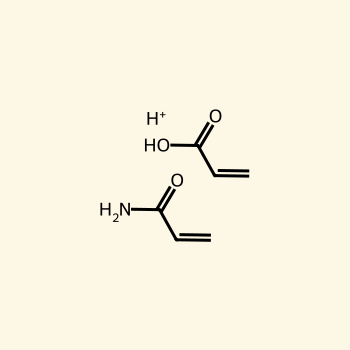 C=CC(=O)O.C=CC(N)=O.[H+]